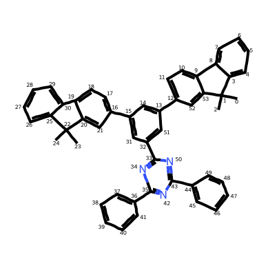 CC1(C)c2ccccc2-c2ccc(-c3cc(-c4ccc5c(c4)C(C)(C)c4ccccc4-5)cc(-c4nc(-c5ccccc5)nc(-c5ccccc5)n4)c3)cc21